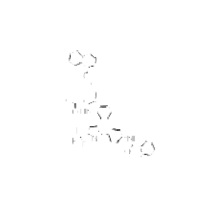 O=C(O)Oc1[nH]c2c(-c3cc(C(F)(F)F)nn3-c3ccc(NC(=O)c4ccccc4F)cc3)cccc2c1CCCOc1cccc2ccccc12